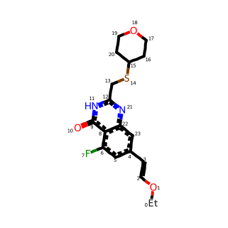 CCO/C=C/c1cc(F)c2c(=O)[nH]c(CSC3CCOCC3)nc2c1